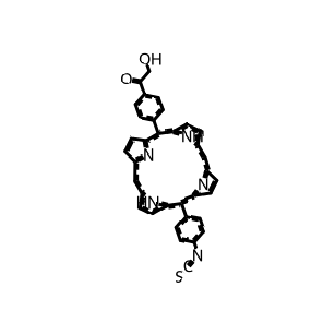 O=C(CO)c1ccc(-c2c3nc(cc4ccc([nH]4)c(-c4ccc(N=C=S)cc4)c4nc(cc5ccc2[nH]5)C=C4)C=C3)cc1